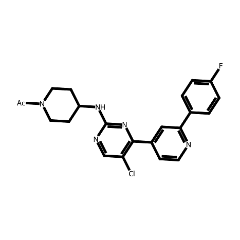 CC(=O)N1CCC(Nc2ncc(Cl)c(-c3ccnc(-c4ccc(F)cc4)c3)n2)CC1